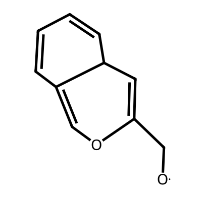 [O]CC1=CC2C=CC=CC2=CO1